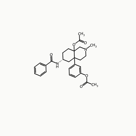 CC(=O)Oc1cccc(C23CCN(C)CC2(OC(C)=O)CC[C@@H](NC(=O)c2ccccc2)C3)c1